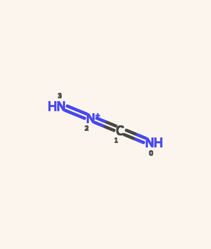 N=C=[N+]=N